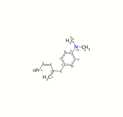 C=C(/C=C\CCC)Cc1ccc(N(C)C)cc1